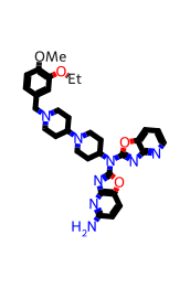 CCOc1cc(CN2CCC(N3CCC(N(c4nc5ncccc5o4)c4nc5nc(N)ccc5o4)CC3)CC2)ccc1OC